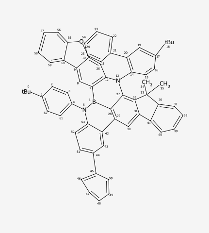 CC(C)(C)c1ccc(N2B3c4cc5c(cc4N(c4ccc(C(C)(C)C)cc4-c4ccccc4)c4c3c(cc3c4C(C)(C)c4ccccc4-3)-c3cc(-c4ccccc4)ccc32)oc2ccccc25)cc1